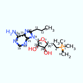 C=P(C)(C)CC[C@H]1O[C@@H](n2c(CCC)nc3c(N)ncnc32)[C@H](O)[C@@H]1O